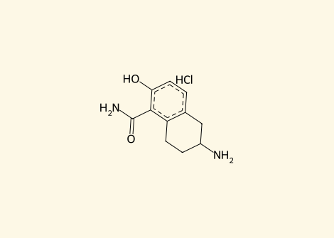 Cl.NC(=O)c1c(O)ccc2c1CCC(N)C2